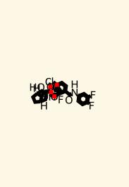 O=C(Nc1ccc(F)c(F)c1)c1ccc(Cl)c(S(=O)(=O)[C@@H]2C[C@H]3CC[C@@H](C2)[C@@]3(O)C(O)c2cc(F)ccn2)c1